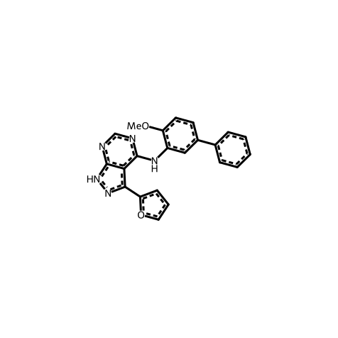 COc1ccc(-c2ccccc2)cc1Nc1ncnc2[nH]nc(-c3ccco3)c12